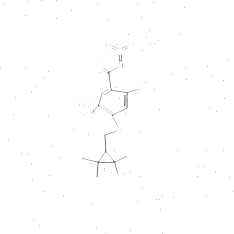 C.CC1(C)C(COc2cc(F)c(C(=O)N=S(=O)=O)cc2Cl)C1(C)C